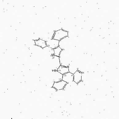 c1ccc(-c2nc(-c3nc(-c4ccccc4)c(-c4ccccc4)[nH]3)[nH]c2-c2ccccc2)cc1